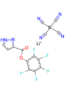 N#C[B-](C#N)(C#N)C#N.O=C(Oc1c(F)c(F)c(F)c(F)c1F)c1cc[nH]n1.[Li+]